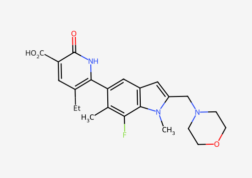 CCc1cc(C(=O)O)c(=O)[nH]c1-c1cc2cc(CN3CCOCC3)n(C)c2c(F)c1C